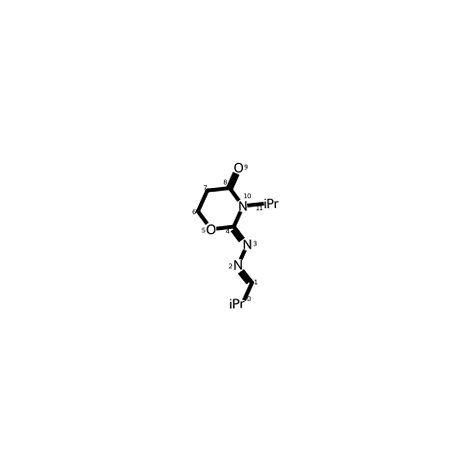 CC(C)/C=N/N=C1\OCCC(=O)N1C(C)C